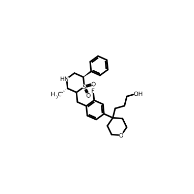 C[C@@H]1NC[C@@H](c2ccccc2)S(=O)(=O)C1Cc1ccc(C2(CCCO)CCOCC2)cc1F